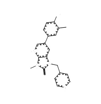 Cc1cc(-c2cnc3c(c2)n(Cc2ccncc2)c(=O)n3C)ccc1F